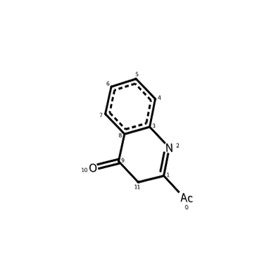 CC(=O)C1=Nc2ccccc2C(=O)C1